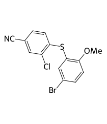 COc1ccc(Br)cc1Sc1ccc(C#N)cc1Cl